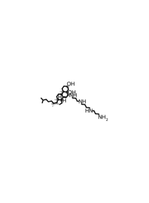 CC(C)CCC[C@@H](C)[C@H]1CC[C@H]2C3=C[C@@H](NCCCNCCCCNCCCN)[C@@]4(O)C[C@@H](O)CC[C@]4(C)[C@H]3CC[C@]12C